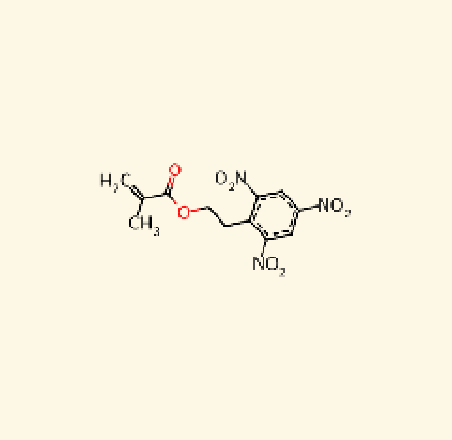 C=C(C)C(=O)OCCc1c([N+](=O)[O-])cc([N+](=O)[O-])cc1[N+](=O)[O-]